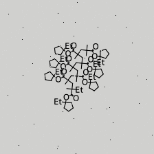 CCC1(OC(=O)C(C)(C)CC(C)(CC(C)(CC(C)(CC(C)(CC(C)(CC(C)(CC)C(=O)OC2(CC)CCCC2)C(=O)OC2(CC)CCCC2)C(=O)OC2(CC)CCCC2)C(=O)OC2(CC)CCCC2)C(=O)OC2(CC)CCCC2)C(=O)OC2(CC)CCCC2)CCCC1